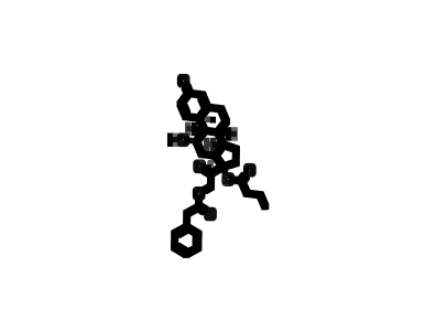 CCCC(=O)O[C@@]1(C(=O)COC(=O)Cc2ccccc2)CC[C@H]2[C@@H]3CCC4=CC(=O)C=C[C@]4(C)[C@H]3[C@@H](O)C[C@@]21C